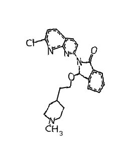 CN1CCC(CCOC2c3ccccc3C(=O)N2c2ccc3ccc(Cl)nc3n2)CC1